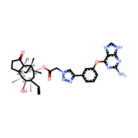 C=C[C@]1(C)C[C@@H](OC(=O)Cn2cc(-c3cccc(Oc4nc(N)nc5[nH]cnc45)c3)nn2)[C@]2(C)[C@H](C)CC[C@]3(CCC(=O)[C@H]32)[C@@H](C)[C@@H]1O